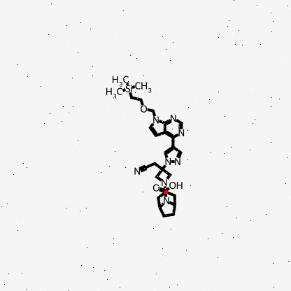 C[Si](C)(C)CCOCn1ccc2c(-c3cnn(C4(CC#N)CN(C5CC6CCC(C5)N6C(=O)O)C4)c3)ncnc21